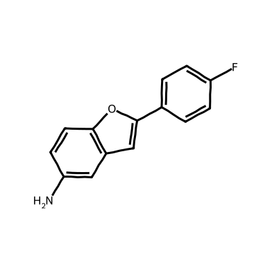 Nc1ccc2oc(-c3ccc(F)cc3)cc2c1